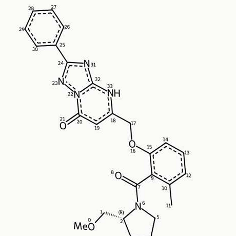 COC[C@H]1CCCN1C(=O)c1c(C)cccc1OCc1cc(=O)n2nc(-c3ccccc3)nc2[nH]1